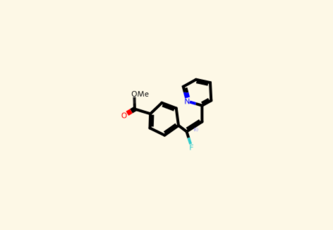 COC(=O)c1ccc(/C(F)=C\c2ccccn2)cc1